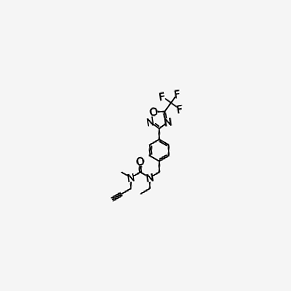 C#CCN(C)C(=O)N(CC)Cc1ccc(-c2noc(C(F)(F)F)n2)cc1